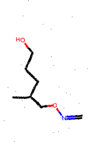 C=NOCC(C)CCCO